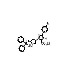 CCOC(=O)c1c(I)c(-c2ccc(Br)cc2)nn1C1CCC(O[Si](c2ccccc2)(c2ccccc2)C(C)(C)C)C1